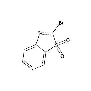 O=S1(=O)C(Br)=Nc2ccccc21